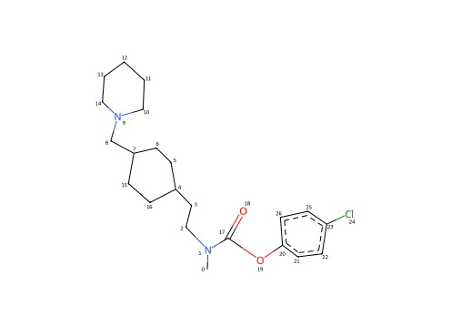 CN(CCC1CCC(CN2CCCCC2)CC1)C(=O)Oc1ccc(Cl)cc1